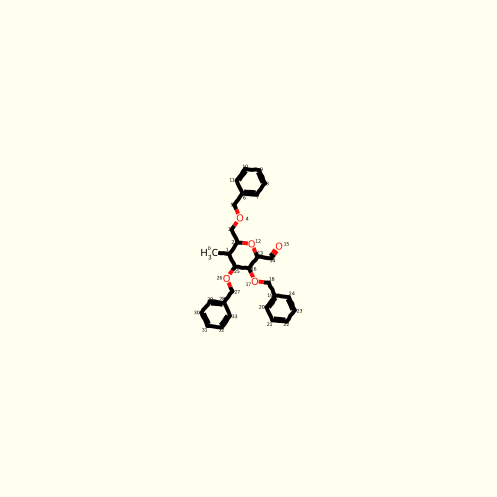 CC1C(COCc2ccccc2)OC(C=O)C(OCc2ccccc2)C1OCc1ccccc1